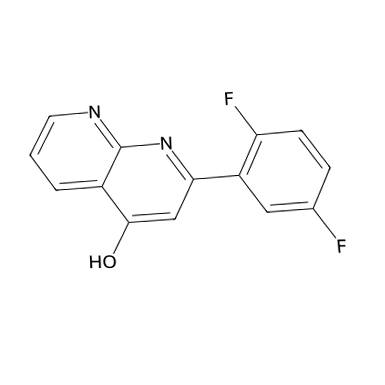 Oc1cc(-c2cc(F)ccc2F)nc2ncccc12